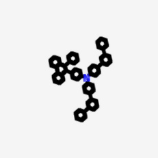 c1ccc(-c2cccc(-c3ccc(N(c4ccc(-c5cccc(-c6ccccc6)c5)cc4)c4ccc(-c5c(-c6ccccc6)c6ccccc6c6ccccc56)cc4)cc3)c2)cc1